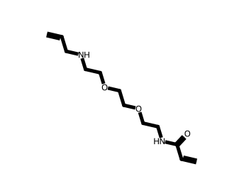 C=CCNCCOCCOCCNC(=O)C=C